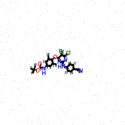 Cc1cc(NC(=O)OC(C)(C)C)cc(C)c1Oc1nc(Nc2ccc(C#N)cc2)nc(Cl)c1Br